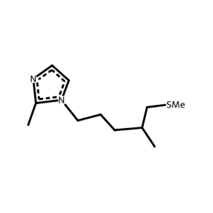 CSCC(C)CCCn1ccnc1C